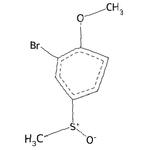 COc1ccc([S+](C)[O-])cc1Br